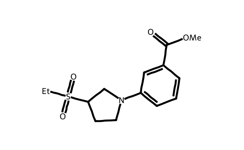 CCS(=O)(=O)C1CCN(c2cccc(C(=O)OC)c2)C1